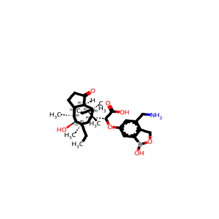 CC[C@]1(C)C[C@@H](C(Oc2cc(CN)c3c(c2)B(O)OC3)C(=O)O)[C@@]2(C)[C@H](C)CC[C@]3(CCC(=O)[C@H]32)[C@@H](C)[C@@H]1O